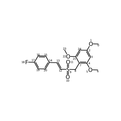 COc1cc(OC)c(CS(=O)(=O)C=Cc2ccc(F)cc2)c(OC)c1